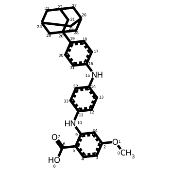 COc1ccc(C(=O)O)c(Nc2ccc(Nc3ccc(C45CC6CC(CC(C6)C4)C5)cc3)cc2)c1